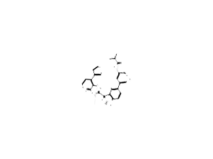 CC(C)C(=O)Nc1cncc(-c2ccc3[nH]nc(-c4nc5c(-c6ccoc6)ccnc5[nH]4)c3c2F)c1